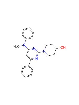 CN(c1ccccc1)c1cc(-c2ccccc2)nc(N2CCC(O)CC2)n1